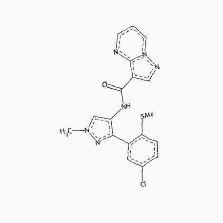 CSc1ccc(Cl)cc1-c1nn(C)cc1NC(=O)c1cnn2cccnc12